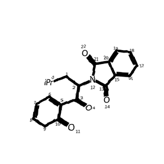 CC(C)CC(C(=O)C1=CC=CCC1=O)N1C(=O)c2ccccc2C1=O